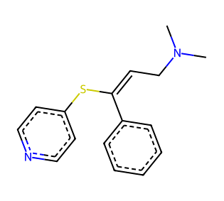 CN(C)CC=C(Sc1ccncc1)c1ccccc1